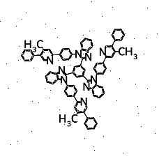 Cc1cc(-c2ccc(-n3c(-c4cc(-c5nc6ccccc6n5-c5ccc(-c6cc(C)c(-c7ccccc7)cn6)cc5)cc(-c5nc6ccccc6n5-c5ccc(-c6cc(C)c(-c7ccccc7)cn6)cc5)c4)nc4ccccc43)cc2)ncc1-c1ccccc1